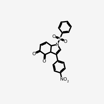 O=C1C=CC2C(C1=O)C(c1ccc([N+](=O)[O-])cc1)=CN2S(=O)(=O)c1ccccc1